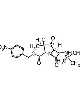 CC1(C)C(C(=O)OCc2ccc([N+](=O)[O-])cc2)N2C(=O)C(N[Si](C)(C)C)[C@@H]2[S+]1[O-]